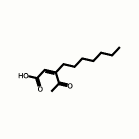 CCCCCCCC(=CC(=O)O)C(C)=O